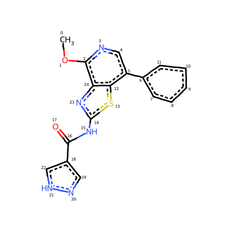 COc1ncc(-c2ccccc2)c2sc(NC(=O)c3cn[nH]c3)nc12